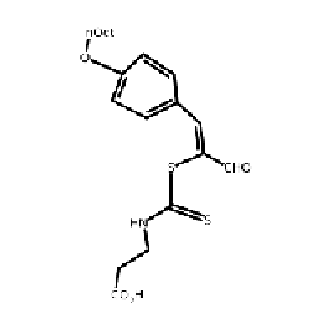 CCCCCCCCOc1ccc(/C=C(/C=O)SC(=S)NCCC(=O)O)cc1